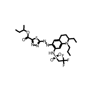 CCCN1c2cc(NS(=O)(=O)CC(F)(F)F)c(N=Nc3nnc(C(=O)OC(C)CC)s3)cc2CCC1CC